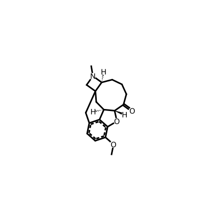 COc1ccc2c3c1O[C@H]1C(=O)CCC[C@@H]4N(C)CC4(C2)C[C@H]31